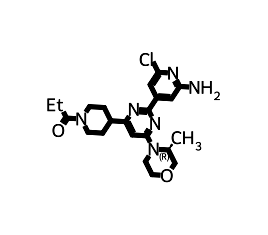 CCC(=O)N1CCC(c2cc(N3CCOC[C@H]3C)nc(-c3cc(N)nc(Cl)c3)n2)CC1